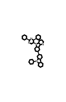 c1ccc(-c2ncc(-n3c4ccc(-c5ccc6c7ccccc7n(-c7ccccc7)c6c5)cc4c4ncccc43)c(-c3ccccc3)n2)cc1